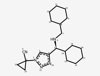 N#CC1(n2cc([C@@H](NCC3CCCCC3)C3CCCCC3)nn2)CC1